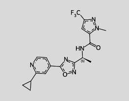 C[C@H](NC(=O)c1cc(C(F)(F)F)nn1C)c1noc(-c2ccnc(C3CC3)c2)n1